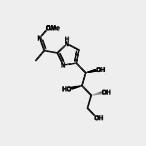 CO/N=C(/C)c1nc([C@@H](O)[C@H](O)[C@H](O)CO)c[nH]1